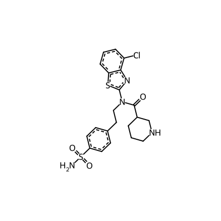 NS(=O)(=O)c1ccc(CCN(C(=O)C2CCCNC2)c2nc3c(Cl)cccc3s2)cc1